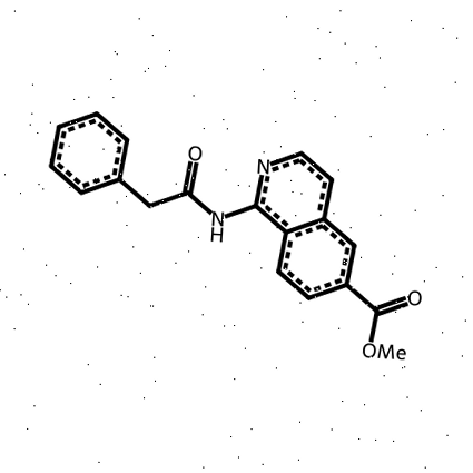 COC(=O)c1ccc2c(NC(=O)Cc3ccccc3)nccc2c1